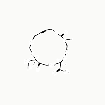 CC(C)N[C@]1(C)CCCCC=CCOC(=O)N(C)CCC[C@@](C)(C(=O)C(C)C)NCC1=O